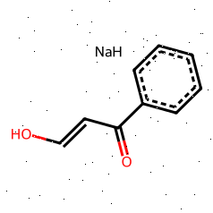 O=C(/C=C/O)c1ccccc1.[NaH]